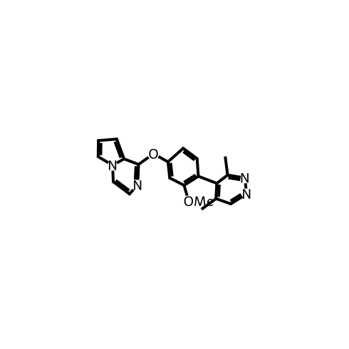 COc1cc(Oc2nccn3cccc23)ccc1-c1c(C)cnnc1C